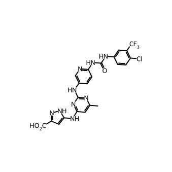 Cc1cc(Nc2cc(C(=O)O)n[nH]2)nc(Nc2ccc(NC(=O)Nc3ccc(Cl)c(C(F)(F)F)c3)nc2)n1